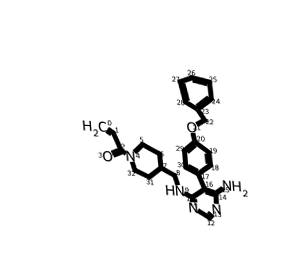 C=CC(=O)N1CCC(CNc2ncnc(N)c2-c2ccc(OCc3ccccc3)cc2)CC1